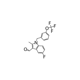 Cc1c(C=O)c2cc(F)ccc2n1Cc1cccc(OC(F)(F)F)c1